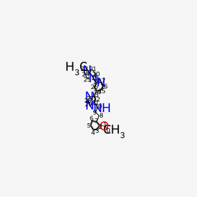 COc1ccccc1CCNc1cc(-c2ccnc(N3CCN(C)CC3)c2)ncn1